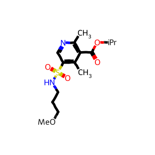 COCCCNS(=O)(=O)c1cnc(C)c(C(=O)OC(C)C)c1C